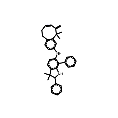 C=C1/C=C\CCc2ccc(Nc3ccc4c(c3-c3ccccc3)NC(c3ccccc3)C4(C)C)cc2C1(C)C